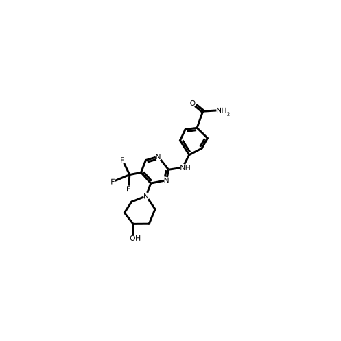 NC(=O)c1ccc(Nc2ncc(C(F)(F)F)c(N3CCC(O)CC3)n2)cc1